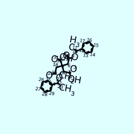 C=C(C(=O)O)C(CC(=O)OC(C)c1ccccc1)(CC(=O)OC(C)c1ccccc1)C(=O)O